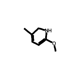 COC1=CC=C(C)CN1